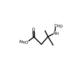 COC(=O)CC(C)(C)NC=O